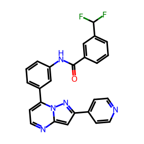 O=C(Nc1cccc(-c2ccnc3cc(-c4ccncc4)nn23)c1)c1cccc(C(F)F)c1